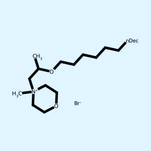 CCCCCCCCCCCCCCCCOC(C)C[N+]1(C)CCOCC1.[Br-]